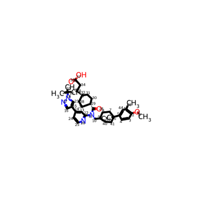 COc1ccc(C23CCC(CN(c4cc(-c5cnn(C(C)(C)C)c5)ccn4)C(=O)[C@H]4CC[C@H](CCC(=O)O)CC4)(CC2)CC3)cc1C